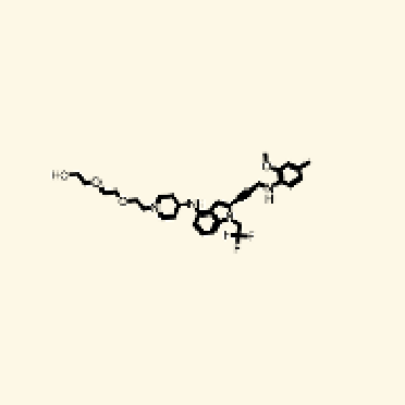 COc1cc(C)ccc1NCC#Cc1cc2c(NC3CCN(CCOCCOCCO)CC3)cccc2n1CC(F)(F)F